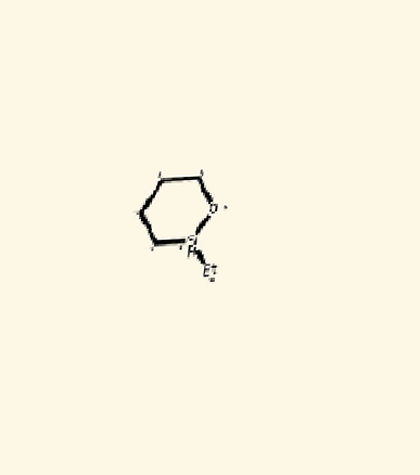 CC[SiH]1CCCCO1